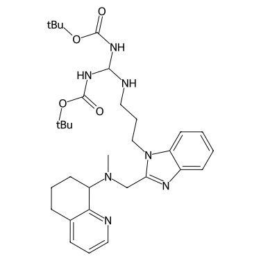 CN(Cc1nc2ccccc2n1CCCNC(NC(=O)OC(C)(C)C)NC(=O)OC(C)(C)C)C1CCCc2cccnc21